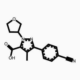 Cc1c(-c2ccc(C#N)cc2)nn(C2CCOC2)c1C(=O)O